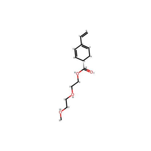 C=CC1=CC[C@H](C(=O)OCCOCCOC)C=C1